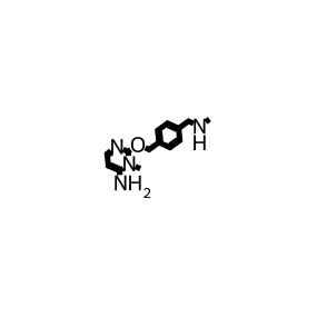 CNCc1ccc(COC2N=CC=C(N)N2C)cc1